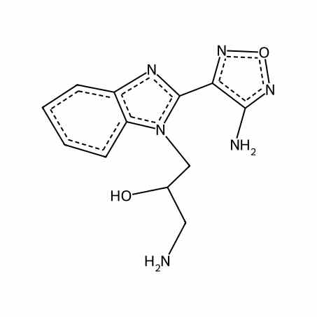 NCC(O)Cn1c(-c2nonc2N)nc2ccccc21